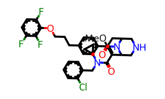 COC(=O)N1C2CNCC1C(C(=O)N(Cc1ccccc1Cl)C1CC1)=C(c1ccc(CCCOc3c(F)ccc(F)c3F)cc1)C2